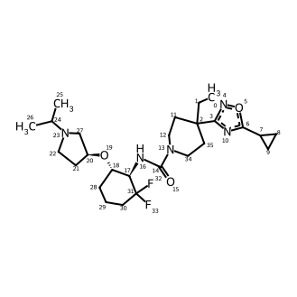 CCC1(c2noc(C3CC3)n2)CCN(C(=O)N[C@@H]2[C@@H](O[C@H]3CCN(C(C)C)C3)CCCC2(F)F)CC1